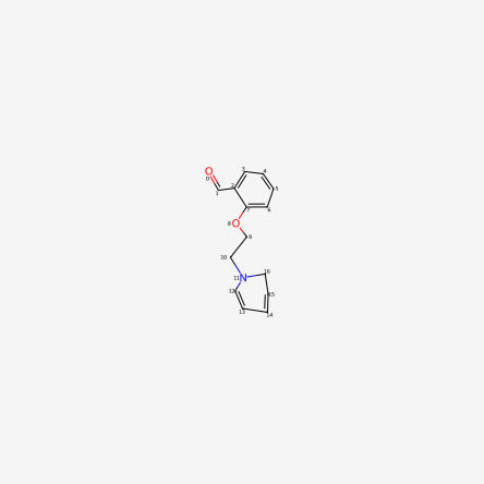 O=Cc1ccccc1OCCN1C=CC=CC1